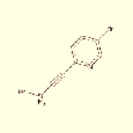 CC(C)[SiH2]C#Cc1ccc(Br)cn1